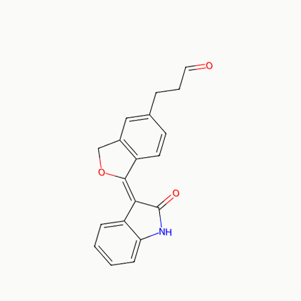 O=CCCc1ccc2c(c1)CO/C2=C1/C(=O)Nc2ccccc21